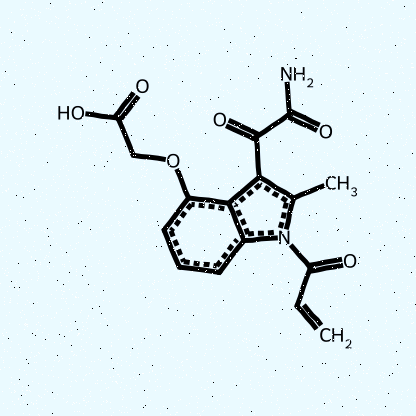 C=CC(=O)n1c(C)c(C(=O)C(N)=O)c2c(OCC(=O)O)cccc21